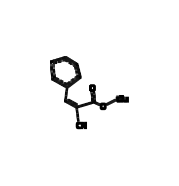 CC(C)(C)OC(=O)/C(C#N)=C\c1ccccc1